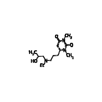 CCN(CCCc1cc(=O)n(C)c(=O)n1C)CC(C)O